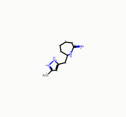 CC(=O)Oc1cc(CC2CCCCC(=N)N2)[nH]n1